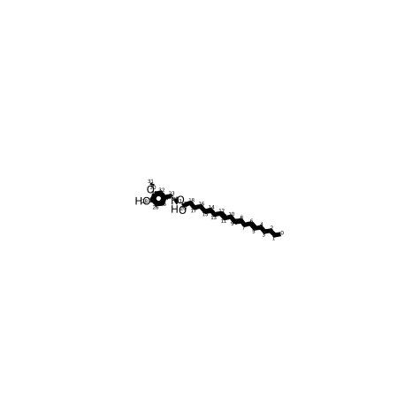 CCCCCC=CCC=CCC=CCC=CCCCC(=O)ONCc1ccc(O)c(OC)c1